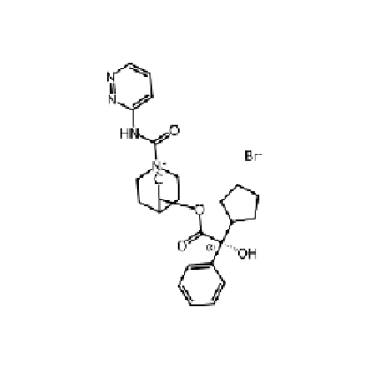 O=C(OC1C[N+]2(C(=O)Nc3cccnn3)CCC1CC2)[C@](O)(c1ccccc1)C1CCCC1.[Br-]